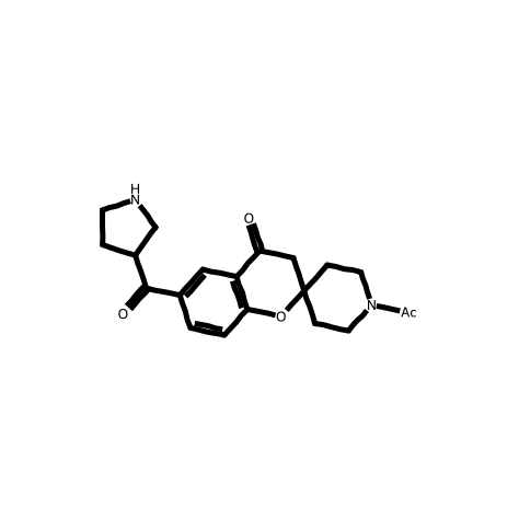 CC(=O)N1CCC2(CC1)CC(=O)c1cc(C(=O)C3CCNC3)ccc1O2